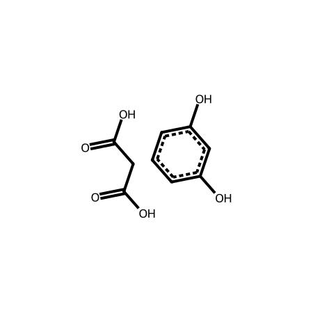 O=C(O)CC(=O)O.Oc1cccc(O)c1